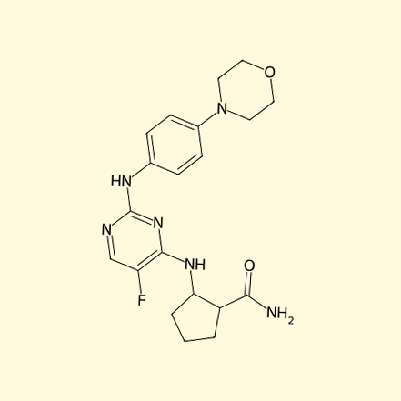 NC(=O)C1CCCC1Nc1nc(Nc2ccc(N3CCOCC3)cc2)ncc1F